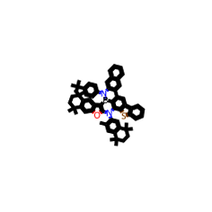 Cc1cc2c(cc1N1c3oc4cc5c(cc4c3B3c4c(cc6c(sc7ccccc76)c41)-c1cc4ccccc4cc1N3c1ccc(C(C)(C)C)cc1)C(C)(C)CCC5(C)C)C(C)(C)CCC2(C)C